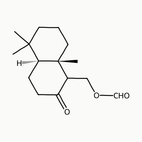 CC1(C)CCC[C@]2(C)C(COC=O)C(=O)CC[C@@H]12